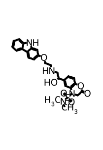 CN(C)S(=O)(=O)N1CC(=O)Oc2ccc(C(O)CNCCOc3ccc4c(c3)[nH]c3ccccc34)cc21